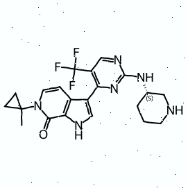 CC1(n2ccc3c(-c4nc(N[C@H]5CCCNC5)ncc4C(F)(F)F)c[nH]c3c2=O)CC1